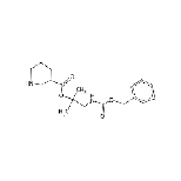 CC(C)(CNC(=O)OCc1ccccc1)OC(=O)C1CCCNC1